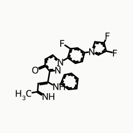 CC(=N)/C=C(\Nc1ccccc1)c1nn(-c2ccc(-n3cc(F)c(F)c3)cc2F)ccc1=O